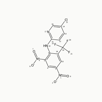 O=[N+]([O-])c1cc([N+](=O)[O-])c(Nc2ccc(Cl)cn2)c(C(F)(F)F)c1